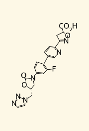 O=C(O)C1CC(c2ccc(-c3ccc(N4C[C@H](Cn5ccnn5)OC4=O)cc3F)cn2)=NO1